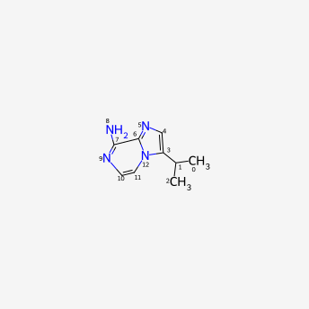 CC(C)c1cnc2c(N)nccn12